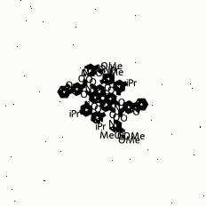 CO[Si](Cc1ccnc(OC(=O)C(c2ccc3c(c2)oc2ccccc23)N2C(=O)c3cc(Oc4ccc(C(C)C)cc4C)c4c5c(Oc6ccc(C(C)C)cc6C)cc6c7c(cc(Oc8ccc(C(C)C)cc8C)c(c8c(Oc9ccc(C(C)C)cc9C)cc(c3c48)C2=O)c75)C(=O)N(C(C(=O)Oc2cc(C[Si](OC)(OC)OC)ccn2)c2ccc3c(c2)oc2ccccc23)C6=O)c1)(OC)OC